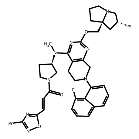 CC(C)c1noc(/C=C/C(=O)N2CC[C@@H](N(C)c3nc(OC[C@@]45CCCN4C[C@H](F)C5)nc4c3CCN(c3cccc5cccc(Cl)c35)C4)C2)n1